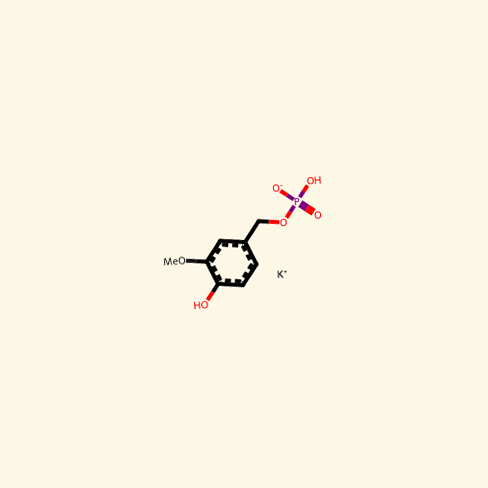 COc1cc(COP(=O)([O-])O)ccc1O.[K+]